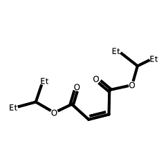 CCC(CC)OC(=O)/C=C\C(=O)OC(CC)CC